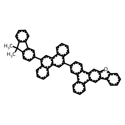 CC1(C)c2ccccc2-c2cc(-c3cc4c5ccccc5c(-c5ccc6c(c5)c5ccccc5c5cc7c(cc65)oc5ccccc57)cc4c4ccccc34)ccc21